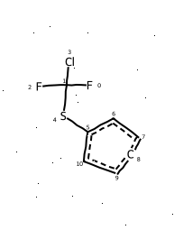 FC(F)(Cl)Sc1ccccc1